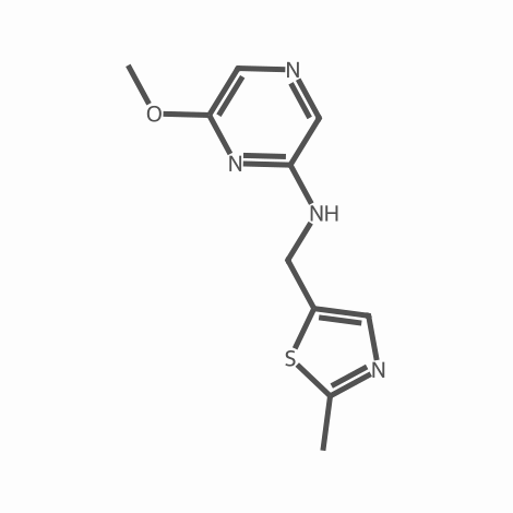 COc1cncc(NCc2cnc(C)s2)n1